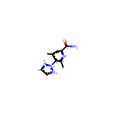 Cc1cc(C(N)=O)nc(C)c1-n1nccn1